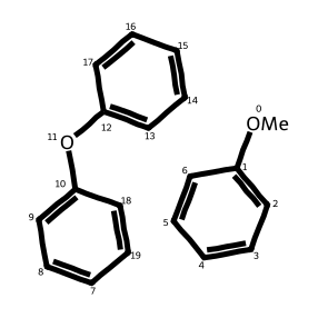 COc1ccccc1.c1ccc(Oc2ccccc2)cc1